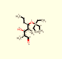 CCC[C@@H](O[Si](CC)(CC)CC)[C@@H](C)[C@H](O)[C@H](C)C=O